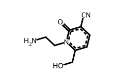 N#Cc1ccc(CO)n(CCN)c1=O